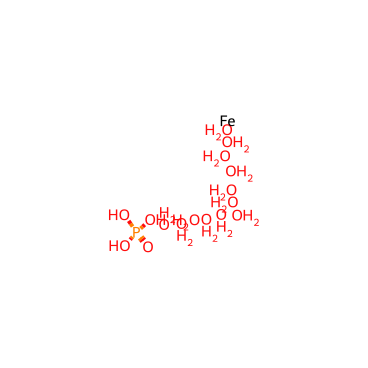 O.O.O.O.O.O.O.O.O.O.O.O.O=P(O)(O)O.[Fe]